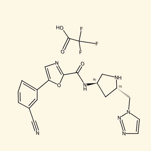 N#Cc1cccc(-c2cnc(C(=O)N[C@H]3CN[C@H](Cn4ccnn4)C3)o2)c1.O=C(O)C(F)(F)F